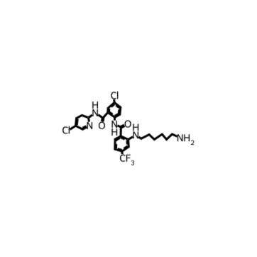 NCCCCCCNc1cc(C(F)(F)F)ccc1C(=O)Nc1ccc(Cl)cc1C(=O)NC1CC=C(Cl)C=N1